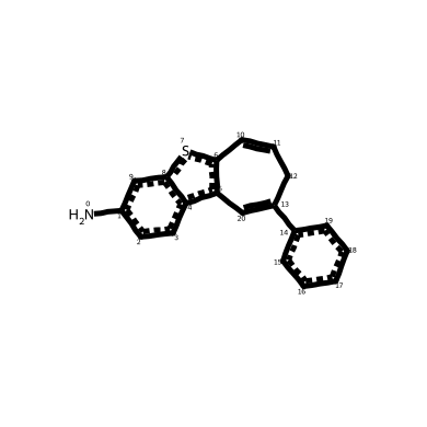 Nc1ccc2c3c(sc2c1)C=CCC(c1ccccc1)=C3